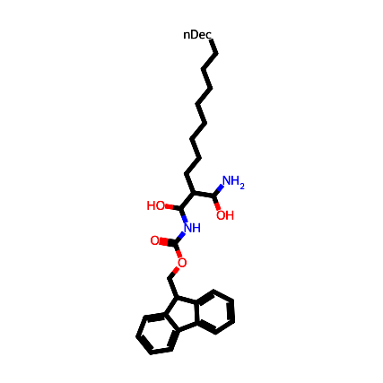 CCCCCCCCCCCCCCCCCCC(C(N)O)C(O)NC(=O)OCC1c2ccccc2-c2ccccc21